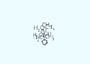 CC(C)(C)OOC(C)(C)C(C)(C)c1ccccc1